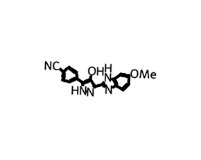 COc1ccc2nc(-c3n[nH]c(-c4ccc(C#N)cc4)c3O)[nH]c2c1